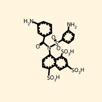 Nc1cccc(C(=O)N(c2ccc(S(=O)(=O)O)c3cc(S(=O)(=O)O)cc(S(=O)(=O)O)c23)S(=O)(=O)c2cccc(N)c2)c1